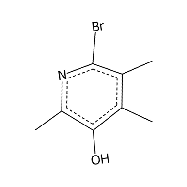 Cc1nc(Br)c(C)c(C)c1O